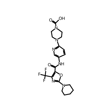 O=C(Nc1ccc(N2CCN(C(=O)O)CC2)nc1)c1oc(N2CCCCC2)nc1C(F)(F)F